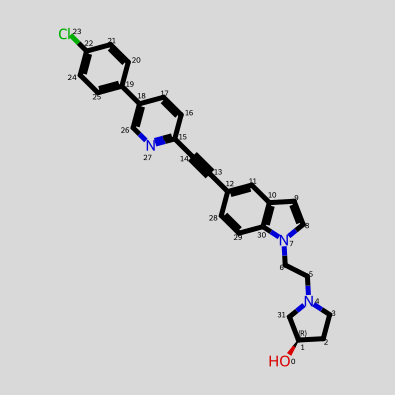 O[C@@H]1CCN(CCn2ccc3cc(C#Cc4ccc(-c5ccc(Cl)cc5)cn4)ccc32)C1